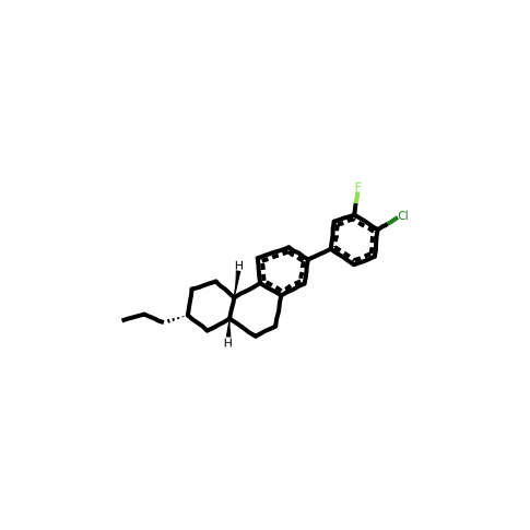 CCC[C@@H]1CC[C@@H]2c3ccc(-c4ccc(Cl)c(F)c4)cc3CC[C@@H]2C1